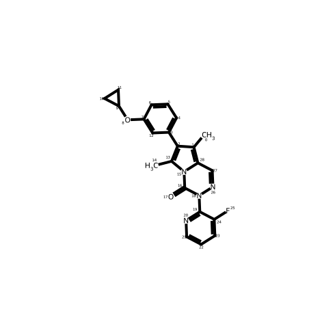 Cc1c(-c2cccc(OC3CC3)c2)c(C)n2c(=O)n(-c3ncccc3F)ncc12